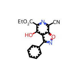 CCOC(=O)c1nc(C#N)c2onc(-c3ccccc3)c2c1O